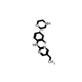 CCc1cnc(NC2=C(F)CC([C@H]3CNCCO3)C=C2)nc1